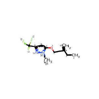 C=C(CC)COc1cc(C(F)(F)F)nn1C